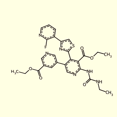 CCNC(=O)Nc1ncc(-c2cncc(C(=O)OCC)c2)c(-c2nc(-c3cccnc3F)cs2)c1C(=O)OCC